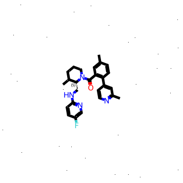 Cc1ccc(-c2ccnc(C)c2)c(C(=O)N2CCCC(C)[C@H]2CNc2ccc(F)cn2)c1